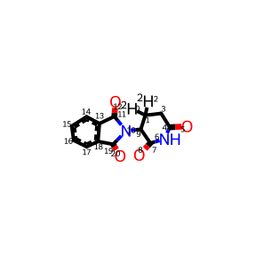 [2H]C1([2H])CC(=O)NC(=O)C1N1C(=O)c2ccccc2C1=O